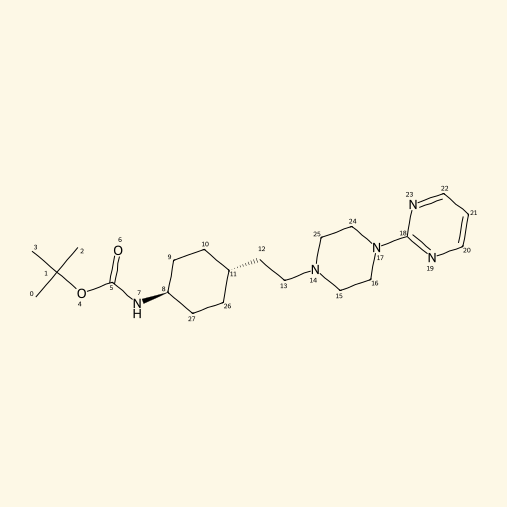 CC(C)(C)OC(=O)N[C@H]1CC[C@H](CCN2CCN(c3ncccn3)CC2)CC1